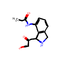 CC(=O)Nc1cccc2c1C(C(=O)C=O)NC2